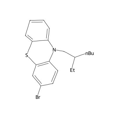 CCCCC(CC)CN1c2ccccc2Sc2cc(Br)ccc21